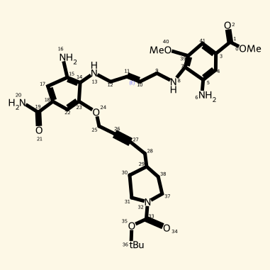 COC(=O)c1cc(N)c(NC/C=C/CNc2c(N)cc(C(N)=O)cc2OCC#CCC2CCN(C(=O)OC(C)(C)C)CC2)c(OC)c1